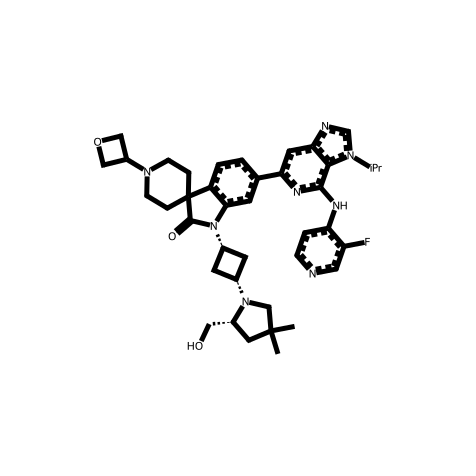 CC(C)n1cnc2cc(-c3ccc4c(c3)N([C@H]3C[C@@H](N5CC(C)(C)C[C@@H]5CO)C3)C(=O)C43CCN(C4COC4)CC3)nc(Nc3ccncc3F)c21